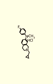 CN(c1ccc(F)cc1)c1ccc2c(c1)CN(CC1CC1)CC2.Cl